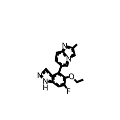 CCOc1c(F)cc2[nH]ncc2c1-c1ccc2nc(C)cn2c1